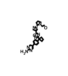 Nc1ncc(-c2ccc(C3(c4noc(-c5cnn(C6CCCN6CC=O)c5)n4)CCC3)cc2)cn1